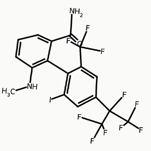 CNc1cccc(C(N)=O)c1-c1c(I)cc(C(F)(C(F)(F)F)C(F)(F)F)cc1C(F)(F)F